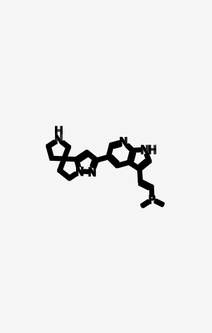 CP(C)/C=C/c1c[nH]c2ncc(-c3cc4n(n3)CCC43CCNC3)cc12